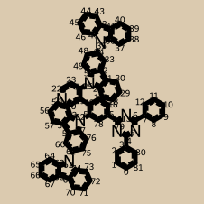 c1ccc(-c2nc(-c3ccccc3)nc(-c3ccc(-c4cnccc4-n4c5ccccc5c5cc(-n6c7ccccc7c7ccccc76)ccc54)c(-n4c5ccccc5c5cc(-n6c7ccccc7c7ccccc76)ccc54)c3)n2)cc1